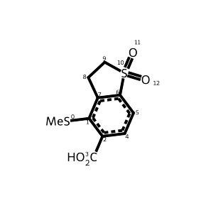 CSc1c(C(=O)O)ccc2c1CCS2(=O)=O